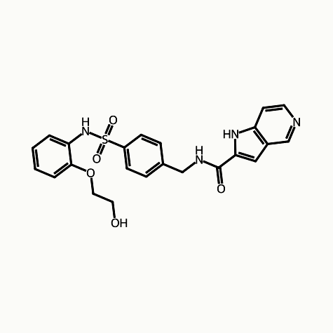 O=C(NCc1ccc(S(=O)(=O)Nc2ccccc2OCCO)cc1)c1cc2cnccc2[nH]1